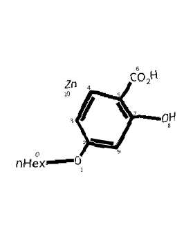 CCCCCCOc1ccc(C(=O)O)c(O)c1.[Zn]